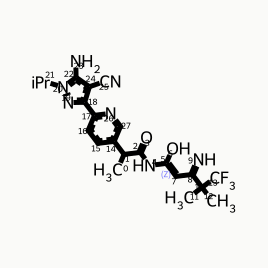 CC(C(=O)N/C(O)=C/C(=N)C(C)(C)C(F)(F)F)c1ccc(-c2nn(C(C)C)c(N)c2C#N)nc1